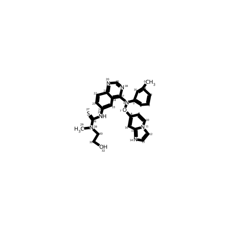 Cc1cccc(N(Oc2ccn3ccnc3c2)c2ncnc3ccc(NC(=S)N(C)CCO)cc23)c1